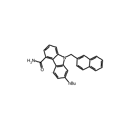 CCCCc1c[c]c2c3c(C(N)=O)cccc3n(Cc3ccc4ccccc4c3)c2c1